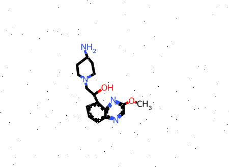 COc1cnc2cccc(C(O)CN3CCC(N)CC3)c2n1